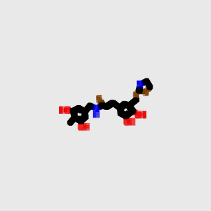 Cc1c(O)cc(CNC(=S)/C=C/c2cc(O)c(O)c(CSC3=NCCS3)c2)cc1O